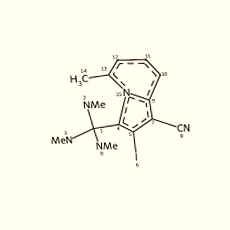 CNC(NC)(NC)c1c(I)c(C#N)c2cccc(C)n12